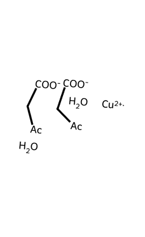 CC(=O)CC(=O)[O-].CC(=O)CC(=O)[O-].O.O.[Cu+2]